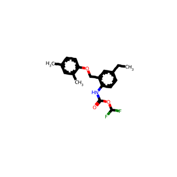 CCc1ccc(NC(=O)OC(F)F)c(COc2ccc(C)cc2C)c1